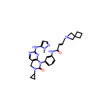 Cn1nccc1Nc1ncc2c(n1)N(c1cccc(NC(=O)/C=C/CN3CC4(CCC4)C3)c1)C(=O)N(C1CC1)C2